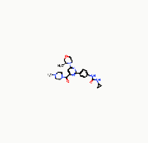 C[C@H]1COCCN1c1cc(C(=O)N2CCN(C)CC2)nc(-c2ccc(NC(=O)NC3CC3)cc2)n1